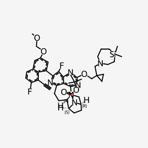 C#Cc1c(F)ccc2cc(OCOC)cc(-c3nc4c5c(nc(OCC6(CN7CCC[Si](C)(C)CC7)CC6)nc5c3F)N3C[C@H]5CC[C@@H]([C@H]3CC4)N5C(=O)OC(C)(C)C)c12